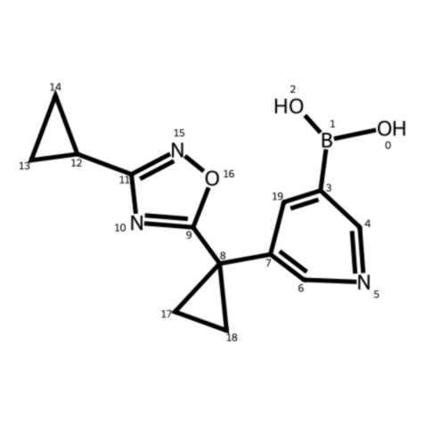 OB(O)c1cncc(C2(c3nc(C4CC4)no3)CC2)c1